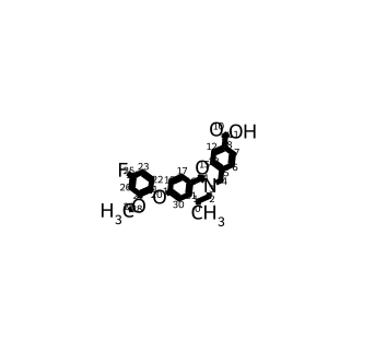 CCCN(Cc1ccc(C(=O)O)cc1)C(=O)c1ccc(Oc2ccc(F)cc2OC)cc1